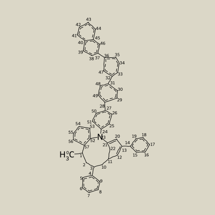 CC1CC(c2ccccc2)CC2C=C(c3ccccc3)C=C(C2)N(c2ccc(-c3ccc(-c4cccc(-c5ccc6ccccc6c5)c4)cc3)cc2)c2ccccc21